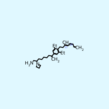 C=C/C=C\C=C(/C)CCc1c(CC)cc(C(=C)CCCCCC(CN)N2CCC2)cc1CC